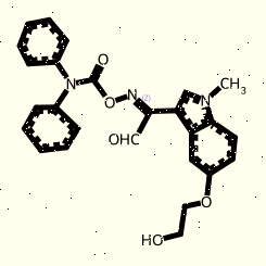 Cn1cc(/C(C=O)=N/OC(=O)N(c2ccccc2)c2ccccc2)c2cc(OCCO)ccc21